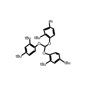 CC(C)c1ccc(OC(Oc2ccc(C(C)(C)C)cc2C(C)(C)C)Oc2ccc(C(C)(C)C)cc2C(C)(C)C)c(C(C)(C)C)c1